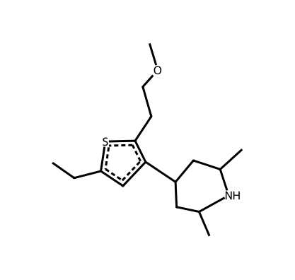 CCc1cc(C2CC(C)NC(C)C2)c(CCOC)s1